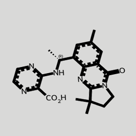 Cc1cc([C@@H](C)Nc2nccnc2C(=O)O)c2nc3n(c(=O)c2c1)CCC3(C)C